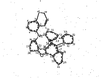 C1=Cc2c(cccc2N(c2ccccc2)c2cccc3oc4c5ccccc5c(-c5ccccc5)cc4c23)CC1